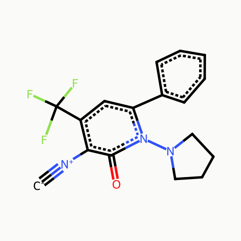 [C-]#[N+]c1c(C(F)(F)F)cc(-c2ccccc2)n(N2CCCC2)c1=O